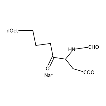 CCCCCCCCCCCC(=O)C(CC(=O)[O-])NC=O.[Na+]